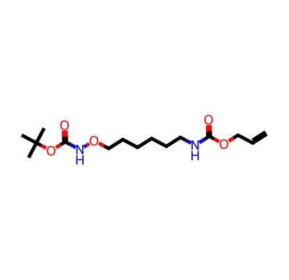 C=CCOC(=O)NCCCCCCONC(=O)OC(C)(C)C